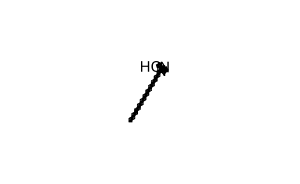 CCCCCCCCCCCCCCCCCCCCCCn1ccnc1C(C)O